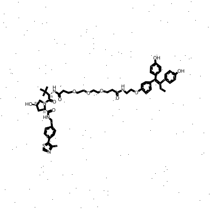 CCC(=C(c1ccc(O)cc1)c1ccc(OCCNC(=O)CCOCCOCCOCCC(=O)N[C@H](C(=O)N2C[C@H](O)C[C@H]2C(=O)NCc2ccc(-c3scnc3C)cc2)C(C)(C)C)cc1)c1ccc(O)cc1